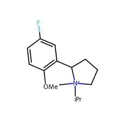 COc1ccc(F)cc1C1CCC[N+]1(C)C(C)C